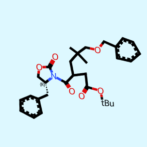 CC(C)(COCc1ccccc1)CC(CC(=O)OC(C)(C)C)C(=O)N1C(=O)OC[C@H]1Cc1ccccc1